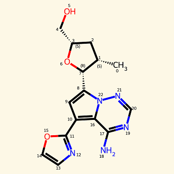 C[C@H]1C[C@@H](CO)O[C@H]1c1cc(-c2ncco2)c2c(N)ncnn12